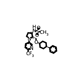 CS(=O)(=O)N[C@H]1CCN(c2ccc(C(F)(F)F)nc2)[C@H]1CO[C@H]1CC[C@@H](c2ccccc2)CC1